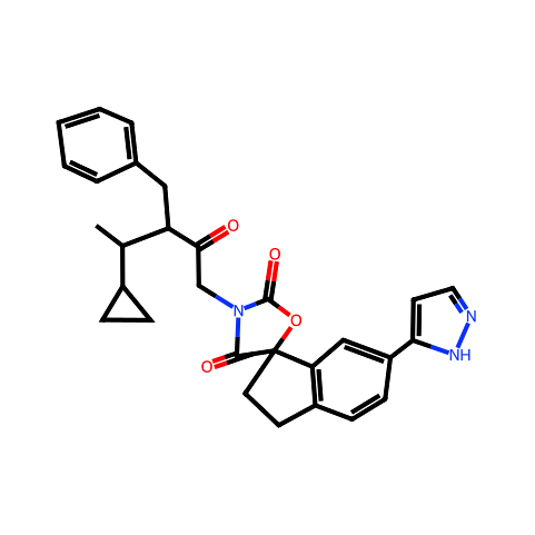 CC(C1CC1)C(Cc1ccccc1)C(=O)CN1C(=O)OC2(CCc3ccc(-c4ccn[nH]4)cc32)C1=O